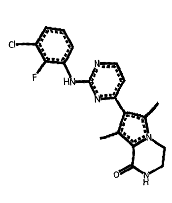 Cc1c(-c2ccnc(Nc3cccc(Cl)c3F)n2)c(C)n2c1C(=O)NCC2